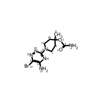 CC1(OC(N)=O)CCN(c2nnc(Br)c(N)n2)CC1